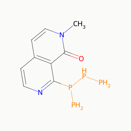 Cn1ccc2ccnc(P(P)PP)c2c1=O